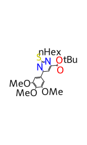 CCCCCCSc1nc(C(=O)OC(C)(C)C)cc(-c2cc(OC)c(OC)c(OC)c2)n1